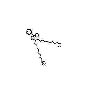 O=CCCCCCCCCC(CCCCCCCCC=O)OC(=O)c1ccccc1